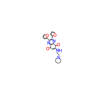 O=C1C=C(NCCN2CCCCC2)C(=O)c2nc(-c3ccco3)c(-c3ccco3)nc21